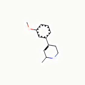 COc1cccc(C2=CC(C)NCC2)c1